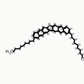 CCCCCCCCCCc1ccc2cc3cc4sc5cc6cc7ccc(CCCCCCCCCC)cc7cc6cc5c4cc3cc2c1